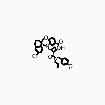 C=CCN(Cc1ccc(OC)cc1)C(=O)[C@@H]1CC[C@H]1CN1C[C@@]2(CCCc3cc(Cl)ccc32)COc2ccc(C(=O)O)cc21